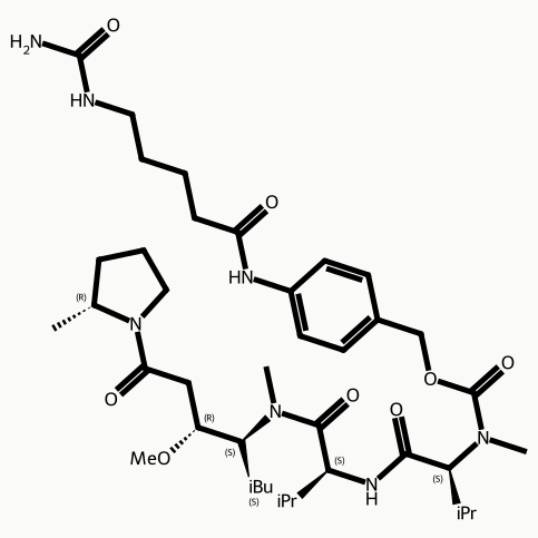 CC[C@H](C)[C@@H]([C@@H](CC(=O)N1CCC[C@H]1C)OC)N(C)C(=O)[C@@H](NC(=O)[C@H](C(C)C)N(C)C(=O)OCc1ccc(NC(=O)CCCCNC(N)=O)cc1)C(C)C